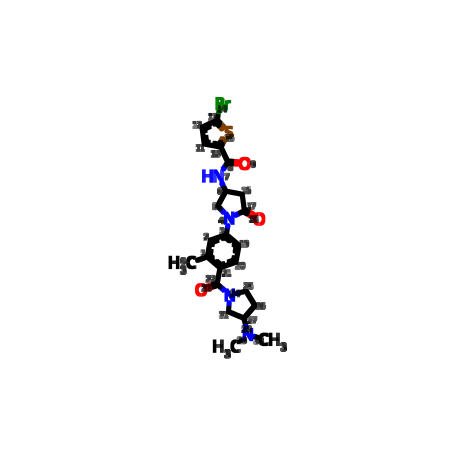 Cc1cc(N2CC(NC(=O)c3ccc(Br)s3)CC2=O)ccc1C(=O)N1CCC(N(C)C)C1